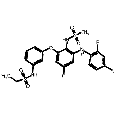 CCS(=O)(=O)Nc1cccc(Oc2cc(F)cc(Nc3ccc(I)cc3F)c2NS(C)(=O)=O)c1